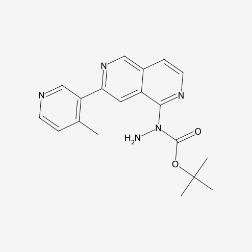 Cc1ccncc1-c1cc2c(N(N)C(=O)OC(C)(C)C)nccc2cn1